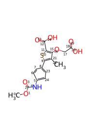 COC(=O)Nc1ccc(-c2sc(C(=O)O)c(OCC(=O)O)c2C)cc1